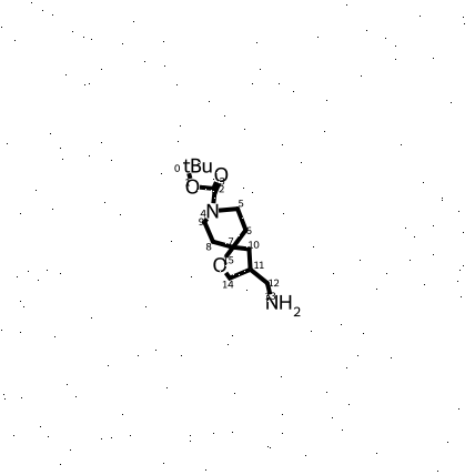 CC(C)(C)OC(=O)N1CCC2(CC1)CC(CN)CO2